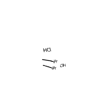 CC(C)C.CC(C)C.Cl.Cl